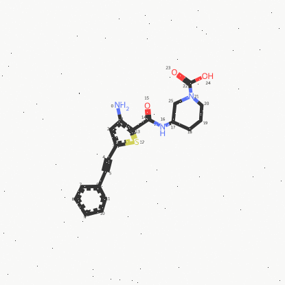 Nc1cc(C#Cc2ccccc2)sc1C(=O)NC1CCCN(C(=O)O)C1